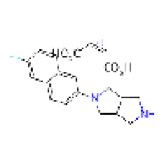 Fc1ccc2cc(N3CC4CNCC4C3)ccc2c1.O=C(O)/C=C\C(=O)O